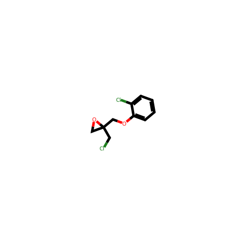 ClCC1(COc2ccccc2Cl)CO1